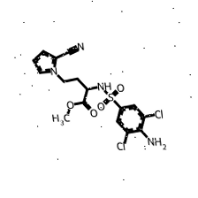 COC(=O)C(CCn1cccc1C#N)NS(=O)(=O)c1cc(Cl)c(N)c(Cl)c1